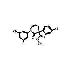 COC(=O)C1(c2ccc(Cl)cc2)CC=NN(c2cc(Cl)cc(Cl)c2)C1=O